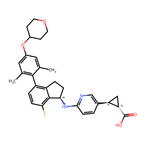 Cc1cc(OC2CCOCC2)cc(C)c1-c1ccc(F)c2c1CC[C@H]2Nc1ccc([C@H]2C[C@@H]2C(=O)O)cn1